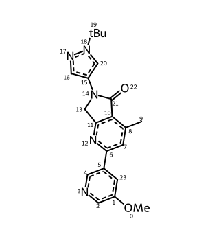 COc1cncc(-c2cc(C)c3c(n2)CN(c2cnn(C(C)(C)C)c2)C3=O)c1